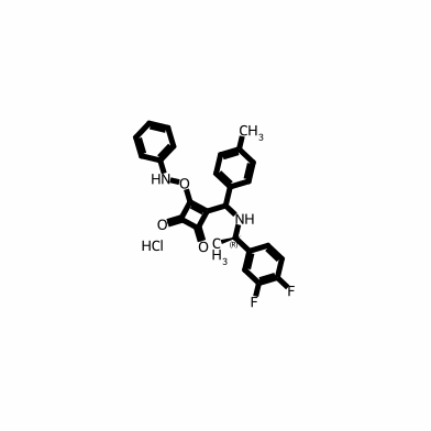 Cc1ccc(C(N[C@H](C)c2ccc(F)c(F)c2)c2c(ONc3ccccc3)c(=O)c2=O)cc1.Cl